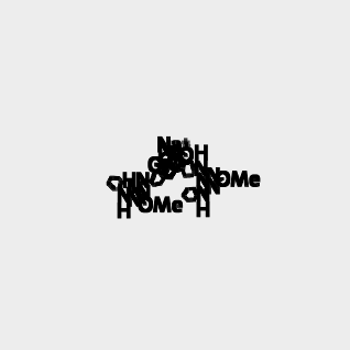 COc1nc(Nc2ccccc2)nc(Nc2ccc(/C=C/c3ccc(Nc4nc(Nc5ccccc5)nc(OC)n4)cc3S(=O)(=O)[O-])c(S(=O)(=O)[O-])c2)n1.[Na+].[Na+]